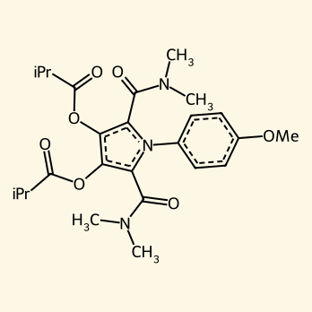 COc1ccc(-n2c(C(=O)N(C)C)c(OC(=O)C(C)C)c(OC(=O)C(C)C)c2C(=O)N(C)C)cc1